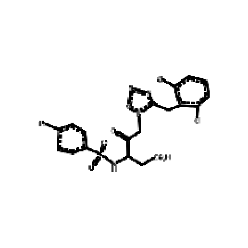 CC(C)c1ccc(S(=O)(=O)NC(CC(=O)O)C(=O)Cn2nnnc2Cc2c(Cl)cccc2Cl)cc1